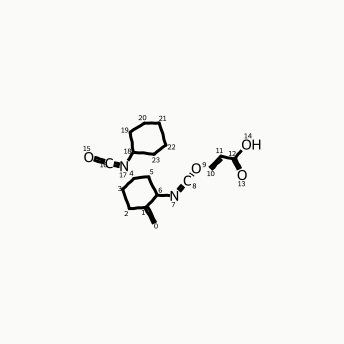 C=C1CCCCC1N=C=O.C=CC(=O)O.O=C=NC1CCCCC1